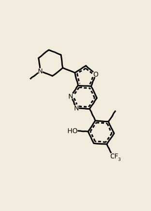 Cc1cc(C(F)(F)F)cc(O)c1-c1cc2occ(C3CCCN(C)C3)c2nn1